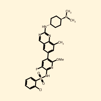 COc1nc(NS(=O)(=O)c2ccccc2Cl)c(F)cc1-c1cc(C)c2nc(N[C@H]3CC[C@H](N(C)C)CC3)ncc2c1